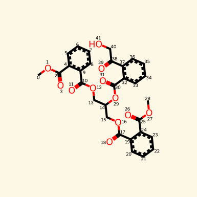 COC(=O)c1ccccc1C(=O)OCC(COC(=O)c1ccccc1C(=O)OC)OC(=O)c1ccccc1C(=O)CO